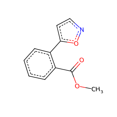 COC(=O)c1ccccc1-c1ccno1